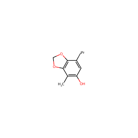 Cc1c(O)cc(C(C)C)c2c1OCO2